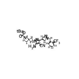 CC(C)(C)OC(=O)N1CC[C@]2(C1)C[C@H](n1nc(-c3cnn(Cc4ccccc4C(F)(F)F)c3)c(C#N)c1N)C2